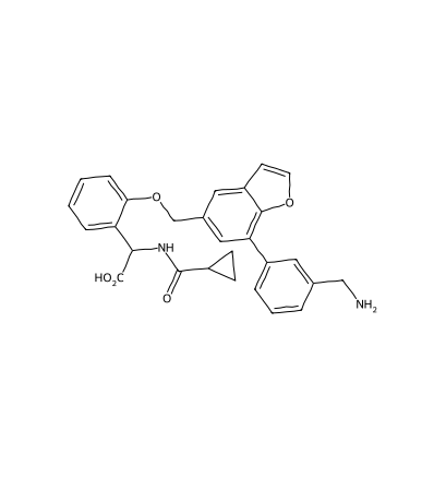 NCc1cccc(-c2cc(COc3ccccc3C(NC(=O)C3CC3)C(=O)O)cc3ccoc23)c1